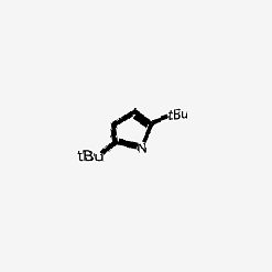 CC(C)(C)C1=CCC(C(C)(C)C)=N1